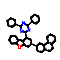 c1ccc(-c2nc(-c3ccccc3)nc(-c3cc(-c4ccc5ccc6ccccc6c5c4)cc4oc5ccccc5c34)n2)cc1